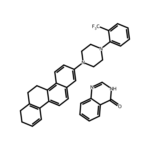 FC(F)(F)c1ccccc1N1CCN(c2ccc3c4c(ccc3c2)C2=C(CCC=C2)CC4)CC1.O=c1[nH]cnc2ccccc12